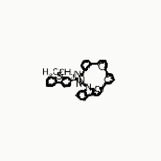 CS1(C)c2ccccc2-c2ccc(-c3nc4nc(n3)-n3c5ccccc5c5ccc(cc53)-c3cccc(c3)-c3cccc(c3)-c3cccc-4c3)cc21